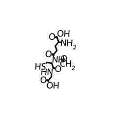 C=O.NC(CCC(=O)NC(CS)C(=O)NCC(=O)O)C(=O)O